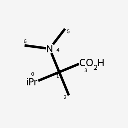 CC(C)C(C)(C(=O)O)N(C)C